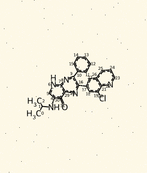 CC(C)Nc1c[nH]c2nc(-c3ccccc3)c(-c3cc(Cl)c4ncccc4c3)nc2c1=O